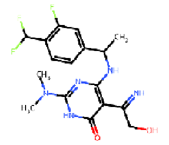 CC(Nc1nc(N(C)C)[nH]c(=O)c1C(=N)CO)c1ccc(C(F)F)c(F)c1